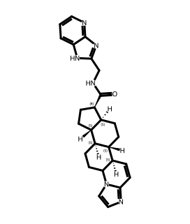 O=C(NCc1nc2ncccc2[nH]1)[C@@H]1CC[C@H]2[C@@H]3CCC4[C@H](C=Cc5nccn54)[C@H]3CC[C@@H]21